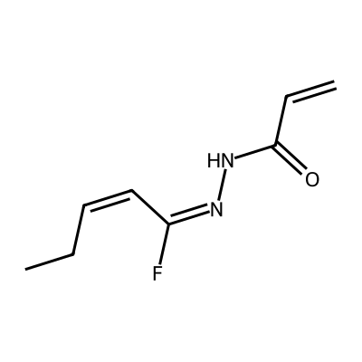 C=CC(=O)N/N=C(F)\C=C/CC